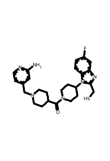 Nc1cc(CN2CCC(C(=O)N3CCC(n4c(CS)nc5cc(F)ccc54)CC3)CC2)ccn1